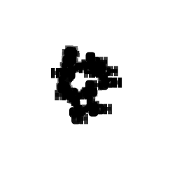 O=C(O)CC[C@H](NC(=O)N[C@@H](CCCCNC(=O)[C@H](Cc1ccc2ccccc2c1)NC(=O)Cc1ccc(NC(=O)CN2CCN(CC(=O)O)CCN(CC(=O)O)CCN(CC(=O)O)CC2)cc1)C(=O)O)C(=O)O